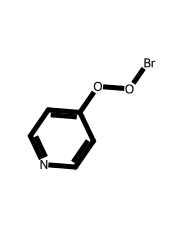 BrOOc1ccncc1